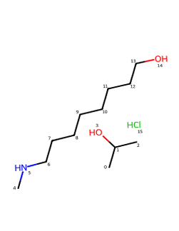 CC(C)O.CNCCCCCCCCO.Cl